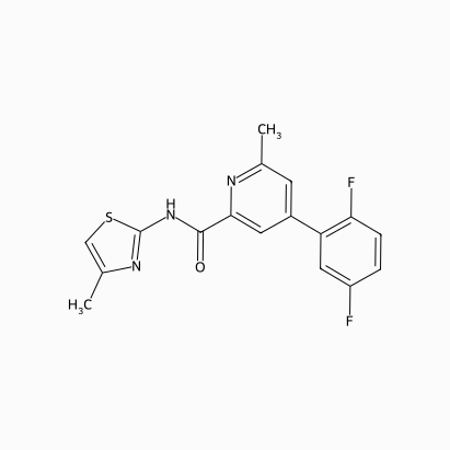 Cc1cc(-c2cc(F)ccc2F)cc(C(=O)Nc2nc(C)cs2)n1